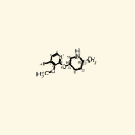 COc1c(I)ccnc1O[C@@H]1CC[C@@H](C)NC1